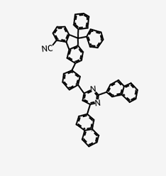 N#Cc1cccc2c1-c1cc(-c3cccc(-c4cc(-c5ccc6ccccc6c5)nc(-c5ccc6ccccc6c5)n4)c3)ccc1C2(c1ccccc1)c1ccccc1